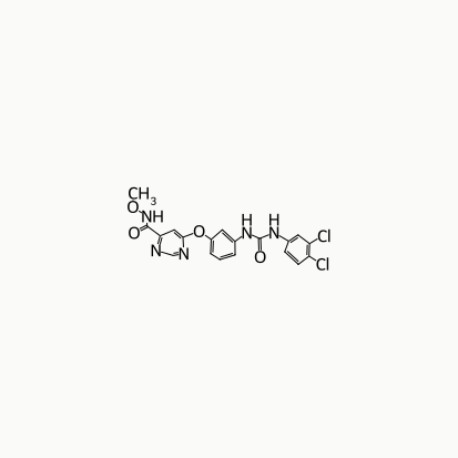 CONC(=O)c1cc(Oc2cccc(NC(=O)Nc3ccc(Cl)c(Cl)c3)c2)ncn1